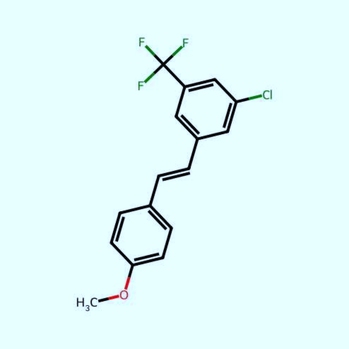 COc1ccc(C=Cc2cc(Cl)cc(C(F)(F)F)c2)cc1